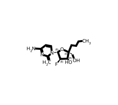 C=C1N=C(N)C=CN1[C@@H]1O[C@@](CO)(CCCC)[C@@H](O)[C@H]1F